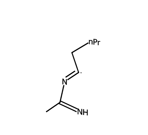 CCCC/[C]=N/C(C)=N